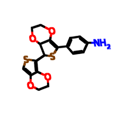 Nc1ccc(C2=C3OCCOC3C(c3scc4c3OCCO4)S2)cc1